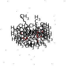 CCCCCCCCCCC[N+](c1nc(N(CCCC)C2CC(C)(C)NC(C)(C)C2)nc(N(CCCC)C2CC(C)(C)NC(C)(C)C2)n1)(c1nc(N(CCCC)C2CC(C)(C)NC(C)(C)C2)nc(N(CCCC)C2CC(C)(C)NC(C)(C)C2)n1)c1nc(N(CCCC)C2CC(C)(C)NC(C)(C)C2)nc(N(CCCC)C2CC(C)(C)NC(C)(C)C2)n1